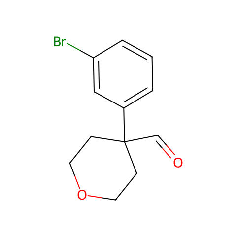 O=CC1(c2cccc(Br)c2)CCOCC1